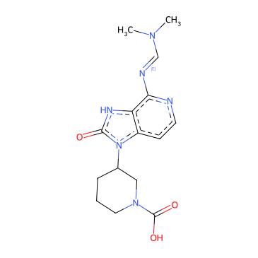 CN(C)/C=N/c1nccc2c1[nH]c(=O)n2C1CCCN(C(=O)O)C1